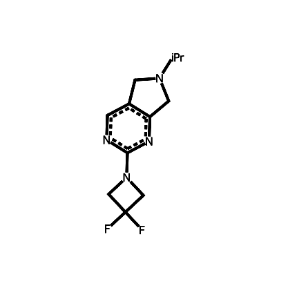 CC(C)N1Cc2cnc(N3CC(F)(F)C3)nc2C1